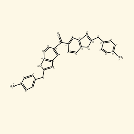 Nc1ccc(Cc2nc3cc(C(=O)c4ccc5oc(Cc6ccc(N)cc6)nc5c4)ccc3o2)cc1